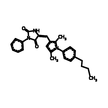 CCCCc1ccc(-n2c(C)cc(/C=C3/NC(=O)N(c4ccccc4)C3=O)c2C)cc1